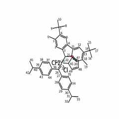 Cc1cc2c(cc1C(C)(C)C)-c1cc(C(C)(C)C)c(C)cc1[CH]2[Zr]([Cl])([Cl])(=[C](c1ccc(C(C)C)cc1)c1ccc(C(C)C)cc1)[CH]1C=CC=C1